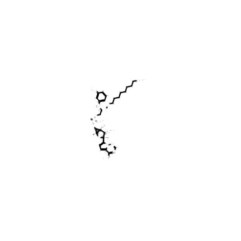 CCCCCCCCCCCCCCCCCCOC[C@H](COP(=O)(O)OC1[C@H]2O[C@@](C)(c3ccc4c(N)ncnn34)[C@H](O)[C@@]12O)Nc1cccc(C#N)c1